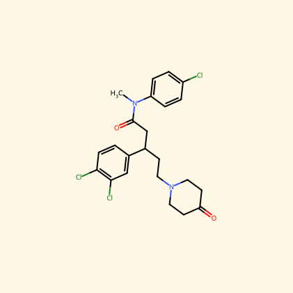 CN(C(=O)CC(CCN1CCC(=O)CC1)c1ccc(Cl)c(Cl)c1)c1ccc(Cl)cc1